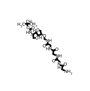 CC(C)(C)OC(=O)N[C@H]1CO[C@H]2[C@@H]1OC[C@H]2OCNC(=O)CNC(=O)CNC(=O)CNC(=O)CN